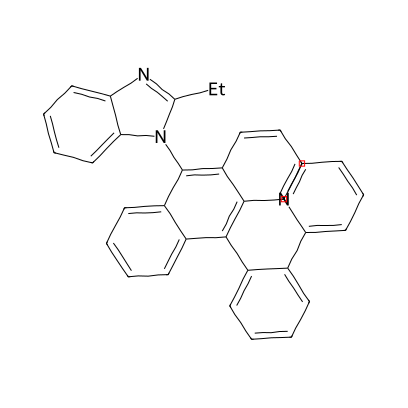 CCc1nc2ccccc2n1-c1c2ccccc2c(-c2ccccc2-c2ccccn2)c2ccccc12